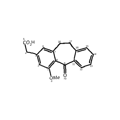 COc1cc(CC(=O)O)cc2c1C(=O)c1ccccc1CC2